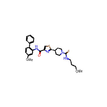 COCCCNC(=S)N1CCC(c2nc(C(=O)Nc3cc(OC)ccc3-c3ccccc3)cs2)CC1